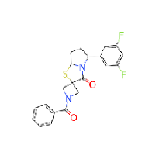 O=C(c1ccccc1)N1CC2(C1)SC1CCC(c3cc(F)cc(F)c3)N1C2=O